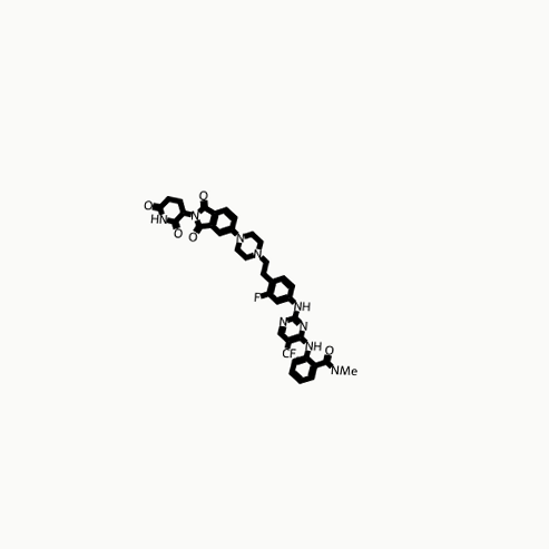 CNC(=O)c1ccccc1Nc1nc(Nc2ccc(CCN3CCN(c4ccc5c(c4)C(=O)N(C4CCC(=O)NC4=O)C5=O)CC3)c(F)c2)ncc1C(F)(F)F